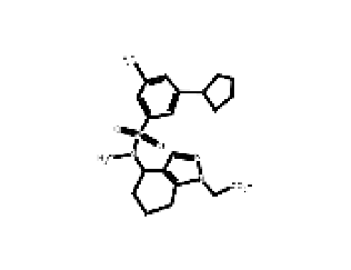 CN(C1CCCc2c1cnn2CC(=O)O)S(=O)(=O)c1cc(C2CCCC2)cc(C(F)(F)F)c1